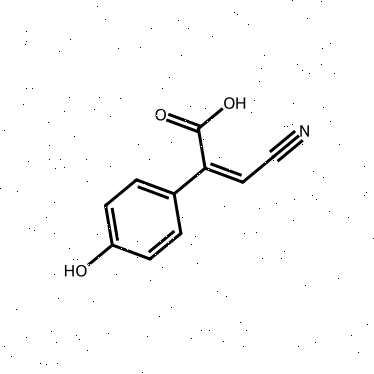 N#CC=C(C(=O)O)c1ccc(O)cc1